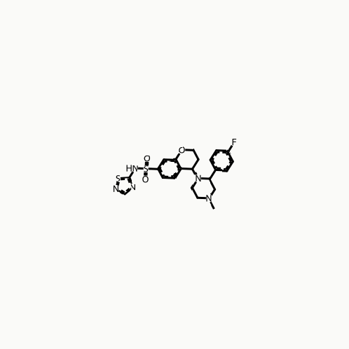 CN1CCN(C2CCOc3cc(S(=O)(=O)Nc4ncns4)ccc32)C(c2ccc(F)cc2)C1